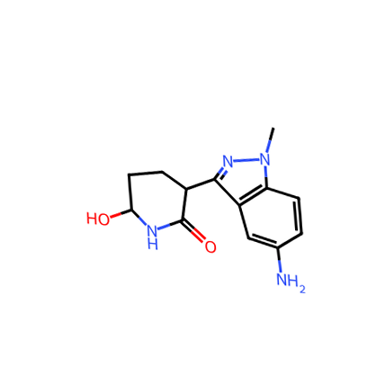 Cn1nc(C2CCC(O)NC2=O)c2cc(N)ccc21